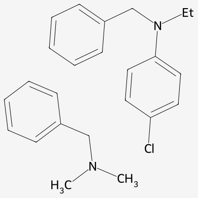 CCN(Cc1ccccc1)c1ccc(Cl)cc1.CN(C)Cc1ccccc1